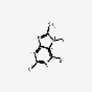 Cn1c(N)nc2nc(Cl)nc(Cl)c21